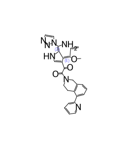 C=C/C(OC)=c1/c(C(=O)C(=O)N2CCc3c(cccc3-c3ccccn3)C2)c[nH]/c1=C(/N)n1ccnn1